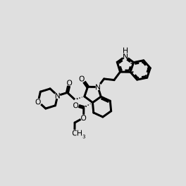 CCOC(=O)[C@@]12CCCC=C1N(CCc1c[nH]c3ccccc13)C(=O)[C@H]2CC(=O)N1CCOCC1